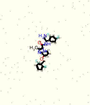 Cc1nc2c(OCc3c(F)cccc3F)cccn2c1C(=O)NC(CN)c1ccc(F)cc1F